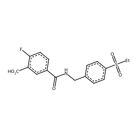 CCS(=O)(=O)c1ccc(CNC(=O)c2ccc(F)c(C(=O)O)c2)cc1